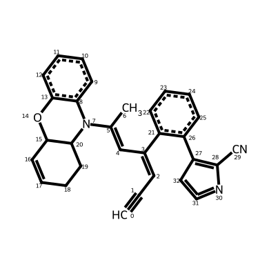 C#C/C=C(\C=C(/C)N1c2ccccc2OC2C=CCCC21)c1ccccc1C1=C(C#N)N=C=C1